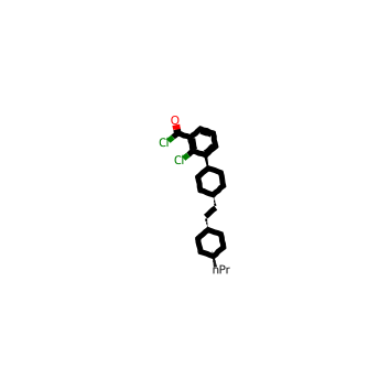 CCC[C@H]1CC[C@H](CC[C@H]2CC[C@H](c3cccc(C(=O)Cl)c3Cl)CC2)CC1